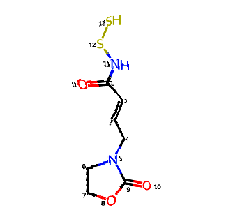 O=C(/C=C/CN1CCOC1=O)NSS